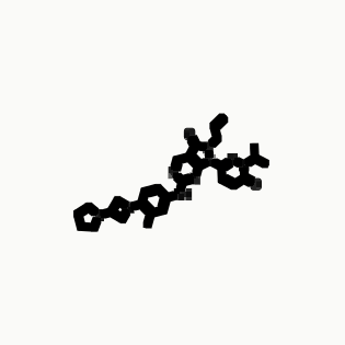 C=CCn1c(=O)c2cnc(Nc3ccc(N4CC(N5CCCC5)C4)c(C)c3)nc2n1-c1ccc(=O)n(C(C)C)n1